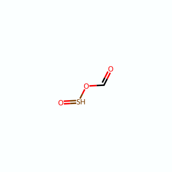 O=CO[SH]=O